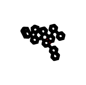 c1ccc(-c2ccccc2-c2ccccc2-c2ccccc2N(c2ccc(-c3ccc4ccccc4c3)cc2)c2cccc3c2-c2ccccc2C32C3CC4CC(C3)CC2C4)cc1